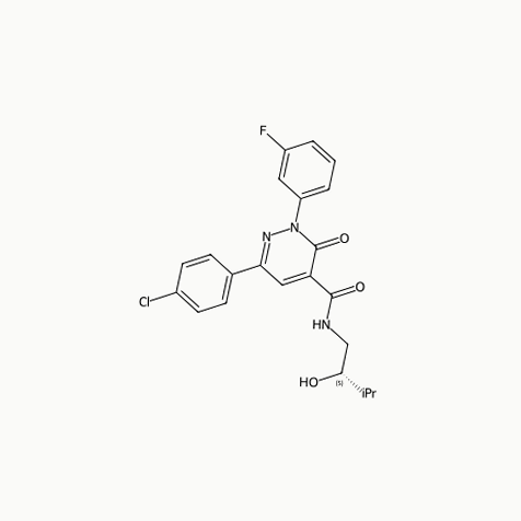 CC(C)[C@H](O)CNC(=O)c1cc(-c2ccc(Cl)cc2)nn(-c2cccc(F)c2)c1=O